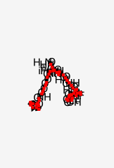 CC[C@@]1(O)C(=O)OCc2c1cc1n(c2=O)Cc2c-1nc1cc(F)c(C)c3c1c2[C@@H](NC(=O)COCNC(=O)CNC(=O)OCc1ccc(NC(=O)[C@H](CCCNC(N)=O)NC(=O)[C@@H](NC(=O)CCOCCOCCOCCOCCNC(=O)CCC(=O)N2Cc4ccccc4C4=C(C4)c4ccccc42)C(C)C)cc1)CC3